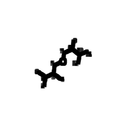 CC(C)C(C)COCC(C)C(C)C